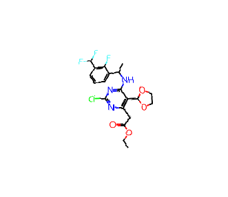 CCOC(=O)Cc1nc(Cl)nc(NC(C)c2cccc(C(F)F)c2F)c1C1OCCO1